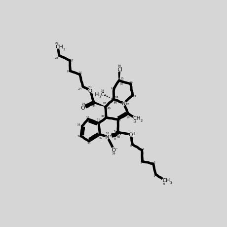 CCCCCCOC(=O)C1=C(C)N2CC[C@H](Cl)C[C@]2(C)[C@H](C(=O)OCCCCCC)C1c1ccccc1[N+](=O)[O-]